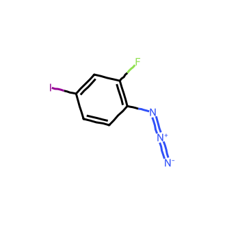 [N-]=[N+]=Nc1ccc(I)cc1F